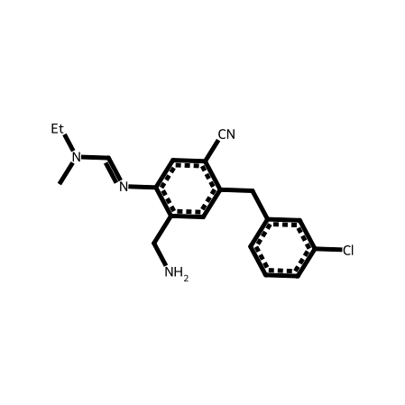 CCN(C)C=Nc1cc(C#N)c(Cc2cccc(Cl)c2)cc1CN